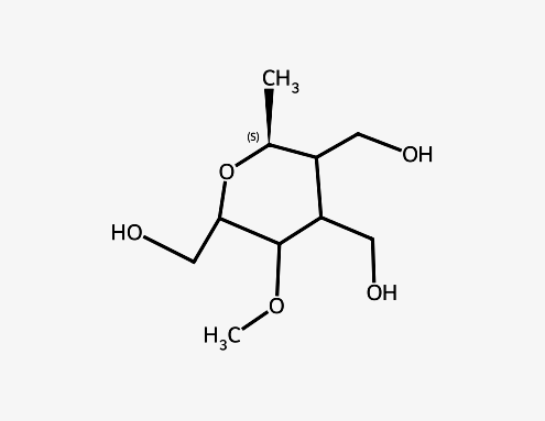 COC1C(CO)O[C@@H](C)C(CO)C1CO